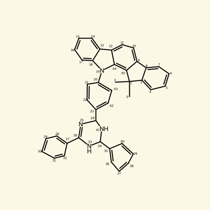 CC1(C)c2ccccc2-c2ccc3c4ccccc4n(-c4ccc(C5N=C(c6ccccc6)NC(c6ccccc6)N5)cc4)c3c21